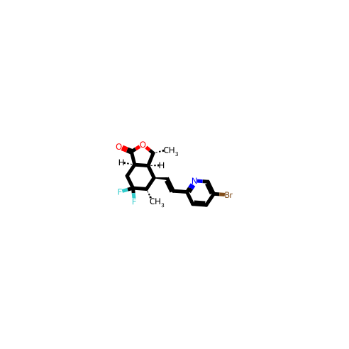 C[C@H]1OC(=O)[C@@H]2CC(F)(F)[C@@H](C)[C@H](C=Cc3ccc(Br)cn3)[C@H]12